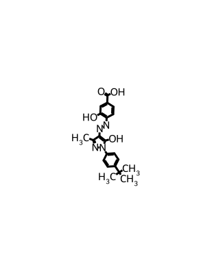 Cc1nn(-c2ccc(C(C)(C)C)cc2)c(O)c1N=Nc1ccc(C(=O)O)cc1O